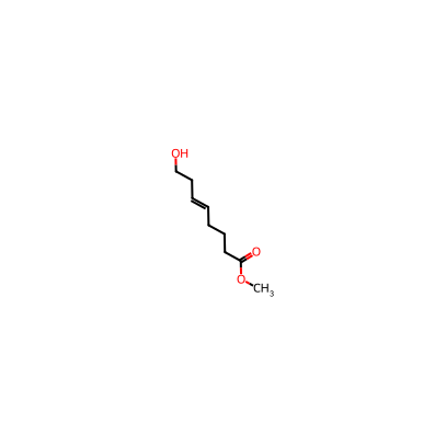 COC(=O)CCCC=CCCO